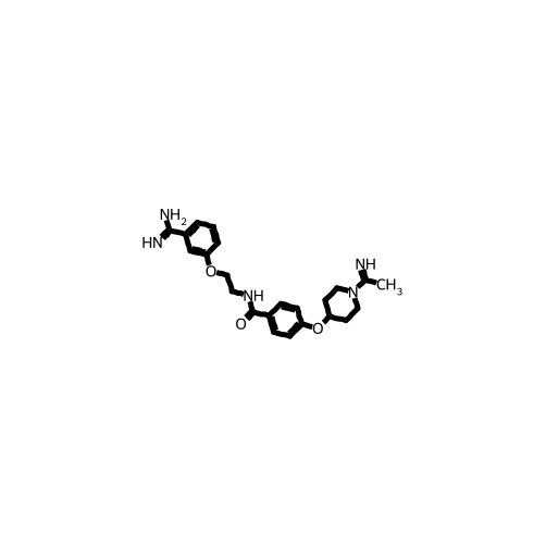 CC(=N)N1CCC(Oc2ccc(C(=O)NCCOc3cccc(C(=N)N)c3)cc2)CC1